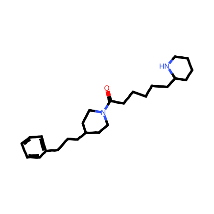 O=C(CCCCCC1CCCCN1)N1CCC(CCCc2ccccc2)CC1